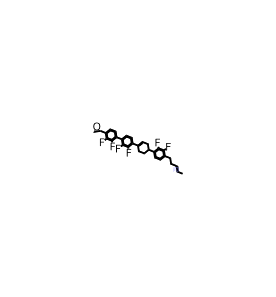 C/C=C/CCc1ccc(C2CC=C(c3ccc(-c4ccc(C5CO5)c(F)c4F)c(F)c3F)CC2)c(F)c1F